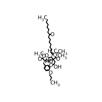 CCCCCCCC(=O)CCCCCCC=C[C@H](C(=O)N[C@@H](Cc1ccc(OCCCC)cc1)C(=O)OC)[C@@](O)(CC(=O)O)C(=O)OC(C)(C)C